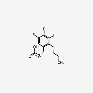 CC(=O)O.CCCCc1c(F)cc(F)c(F)c1F